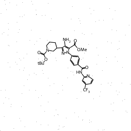 COC(=O)c1c(N)c(C2CCCN(C(=O)OC(C)(C)C)C2)nn1-c1ccc(C(=O)Nc2cc(C(F)(F)F)ccn2)cc1